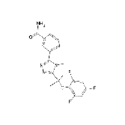 Cn1c(-c2cccc(C(N)=O)c2)nnc1C(C)(C)Oc1c(F)cc(F)cc1F